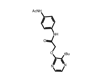 CC(=O)Nc1ccc(NC(=O)COc2nccnc2C(C)(C)C)cc1